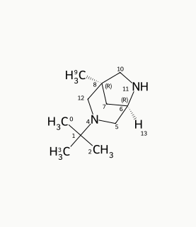 CC(C)(C)N1C[C@H]2C[C@](C)(CN2)C1